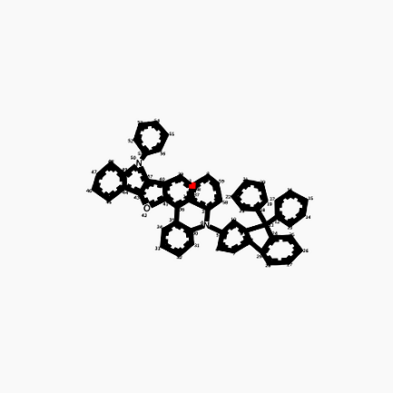 c1ccc(N(c2ccc3c(c2)C(c2ccccc2)(c2ccccc2)c2ccccc2-3)c2ccccc2-c2cccc3c2oc2c4ccccc4n(-c4ccccc4)c32)cc1